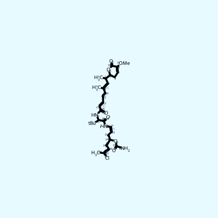 COC1=CCC(C(C)/C=C(C)/C=C/C=C/C(=O)NC(C(=O)N/C=C\CC(C/C=C(\C)Cl)OC(N)=O)C(C)(C)C)OC1=O